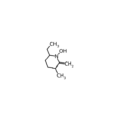 C=C1C(C)CCC(CC)N1O